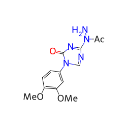 COc1ccc(-n2cnc(N(N)C(C)=O)nc2=O)cc1OC